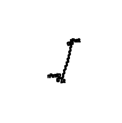 CCCCCOC(=O)CCCCCCCCCCCCCCCCCC(CC)C(=O)OCCCCC